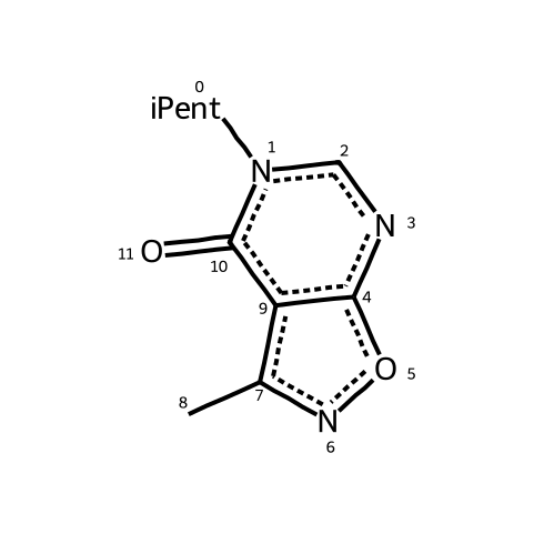 CCCC(C)n1cnc2onc(C)c2c1=O